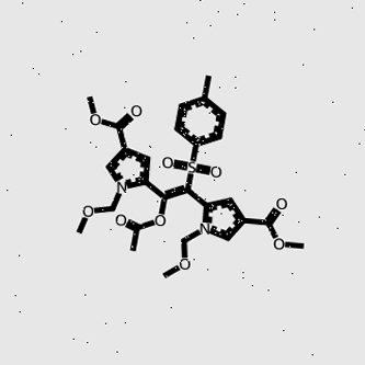 COCn1cc(C(=O)OC)cc1C(OC(C)=O)=C(c1cc(C(=O)OC)cn1COC)S(=O)(=O)c1ccc(C)cc1